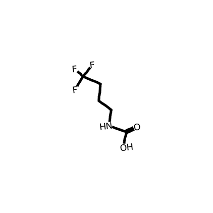 O=C(O)NCCCC(F)(F)F